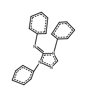 c1ccc(N=c2n(-c3ccccc3)cnn2-c2ccccc2)cc1